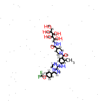 Cc1cc(Nc2nccn3c(-c4ccc(OC(F)F)cc4)cnc23)ccc1C(=O)N1CCC(C(=O)NC[C@H](O)[C@@H](O)[C@H](O)[C@H](O)CO)CC1